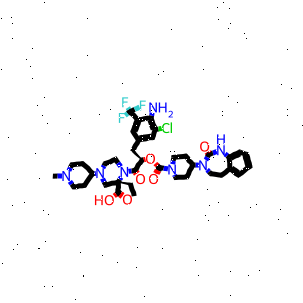 CC[C@@]1(C(=O)O)CN(C2CCN(C)CC2)CCN1C(=O)[C@@H](Cc1cc(Cl)c(N)c(C(F)(F)F)c1)OC(=O)N1CCC(N2CCc3ccccc3NC2=O)CC1